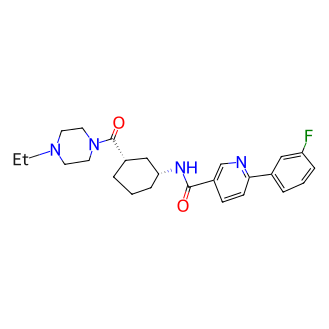 CCN1CCN(C(=O)[C@H]2CCC[C@@H](NC(=O)c3ccc(-c4cccc(F)c4)nc3)C2)CC1